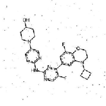 OC1CCN(c2ccc(Nc3ncc(F)c(-c4cc(F)c5c(c4)N(C4CCC4)CCO5)n3)nc2)CC1